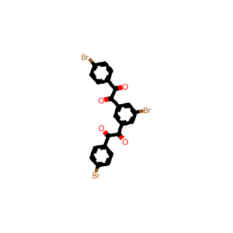 O=C(C(=O)c1cc(Br)cc(C(=O)C(=O)c2ccc(Br)cc2)c1)c1ccc(Br)cc1